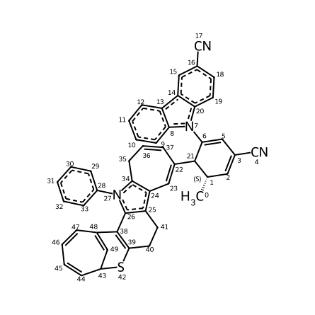 C[C@H]1C=C(C#N)C=C(n2c3ccccc3c3cc(C#N)ccc32)C1C1=Cc2c3c(n(-c4ccccc4)c2CC=C1)C1=C(CC3)SC2C=CC=CC1=C2